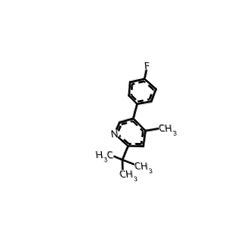 Cc1cc(C(C)(C)C)ncc1-c1ccc(F)cc1